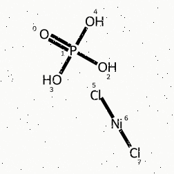 O=P(O)(O)O.[Cl][Ni][Cl]